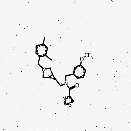 Cc1ccc(CN2CC3C(C2)C3CN(Cc2cccc(OC(F)(F)F)c2)C(=O)c2cscn2)c(C)c1